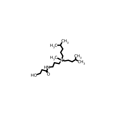 CC(C)CCC[N+](C)(CCCNC(=O)CCO)CCCC(C)C